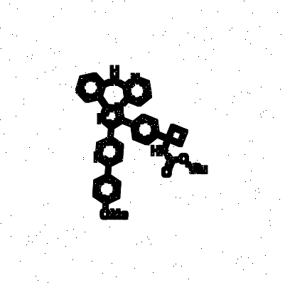 COc1ccc(-c2ccc(-c3nc4n(c3-c3ccc(C5(NC(=O)OC(C)(C)C)CCC5)cc3)-c3cccnc3Nc3ccccc3-4)cn2)cc1